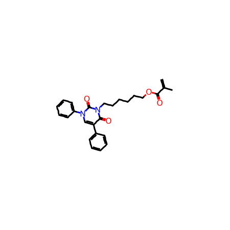 C=C(C)C(=O)OCCCCCCn1c(=O)c(-c2ccccc2)cn(-c2ccccc2)c1=O